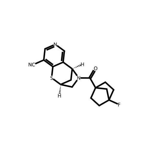 N#Cc1cncc2c1S[C@H]1C[C@@H]2N(C(=O)C23CCC(F)(CC2)C3)C1